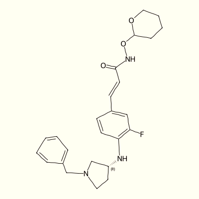 O=C(C=Cc1ccc(N[C@@H]2CCN(Cc3ccccc3)C2)c(F)c1)NOC1CCCCO1